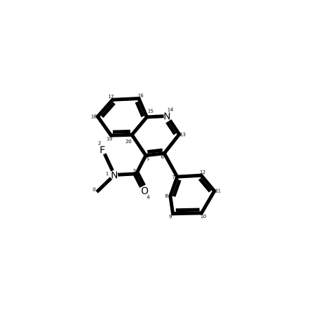 CN(F)C(=O)c1c(-c2ccccc2)cnc2ccccc12